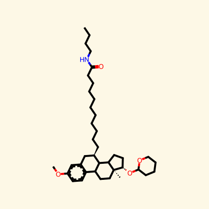 CCCCNC(=O)CCCCCCCCCC[C@@H]1Cc2cc(OC)ccc2C2CC[C@@]3(C)C(CC[C@@H]3OC3CCCCO3)C21